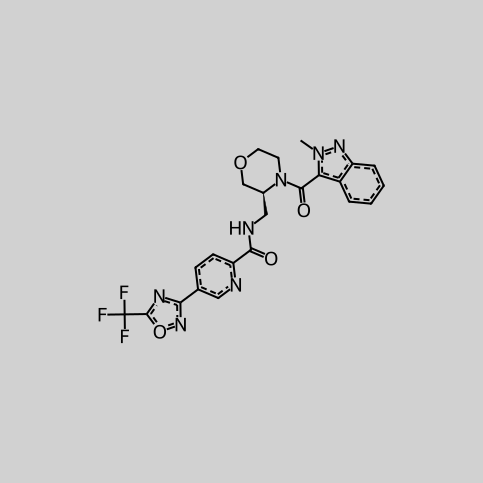 Cn1nc2ccccc2c1C(=O)N1CCOC[C@@H]1CNC(=O)c1ccc(-c2noc(C(F)(F)F)n2)cn1